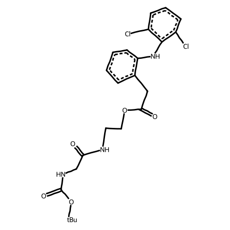 CC(C)(C)OC(=O)NCC(=O)NCCOC(=O)Cc1ccccc1Nc1c(Cl)cccc1Cl